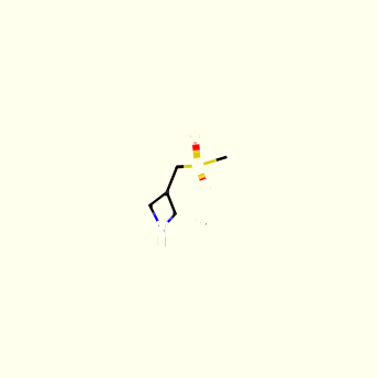 C[C@@H]1NCC1CS(C)(=O)=O